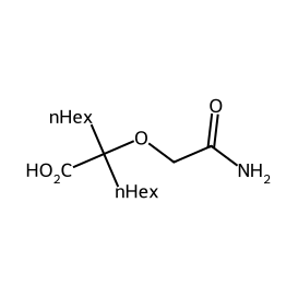 CCCCCCC(CCCCCC)(OCC(N)=O)C(=O)O